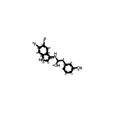 N#Cc1cccc(CC(O)Nc2c[nH]c3cc(F)c(F)cc23)c1